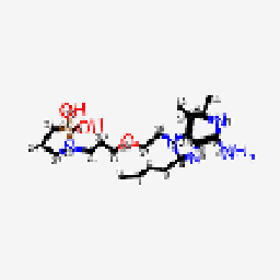 CCCCc1nc2c(N)nc(C)c(C)c2n1CCOCCCN1CCCS1(O)O